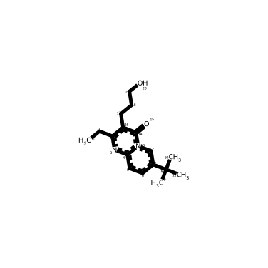 CCc1nc2ccc(C(C)(C)C)cn2c(=O)c1CCCO